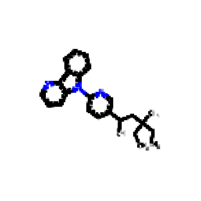 CCC(C)(CC)CC(C)c1ccc(-n2c3ccccc3c3ncccc32)nc1